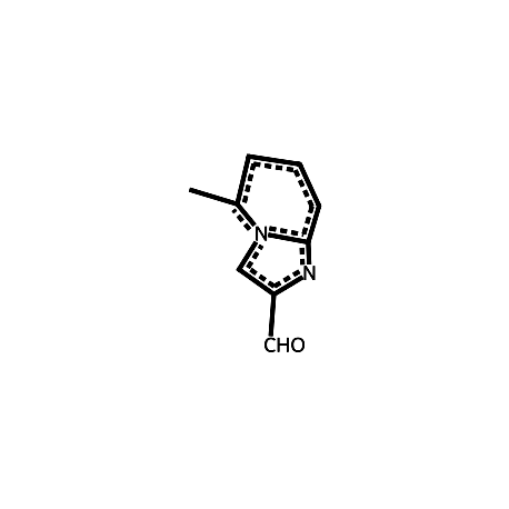 Cc1cccc2nc(C=O)cn12